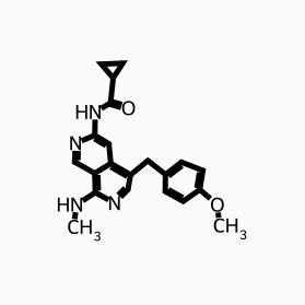 CNc1ncc(Cc2ccc(OC)cc2)c2cc(NC(=O)C3CC3)ncc12